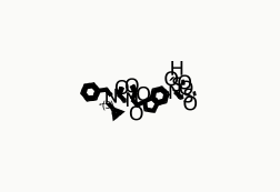 C[C@@H](C1CC1)N(Cc1ccccc1)C(=O)CN1C(=O)OC2(CCc3cc(N(CS(C)(=O)=O)[SH](=O)=O)ccc32)C1=O